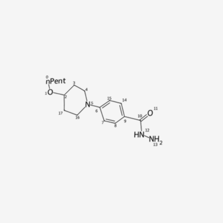 CCCCCOC1CCN(c2ccc(C(=O)NN)cc2)CC1